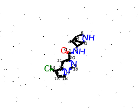 O=C(NC1CC2CNC1C2)c1cc2c(Cl)ccn2cn1